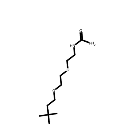 CC(C)(C)CCOCCOCCNC(=O)P